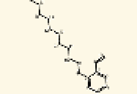 C=Cc1ccccc1CCCCCCCCCCC